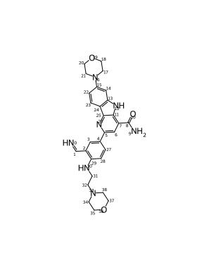 N=Cc1cc(-c2cc(C(N)=O)c3[nH]c4cc(N5CCOCC5)ccc4c3n2)ccc1NCCN1CCOCC1